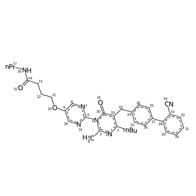 CCCCc1nc(C)n(-c2ncc(OCCCC(=O)NCCC)cn2)c(=O)c1Cc1ccc(-c2ccccc2C#N)cc1